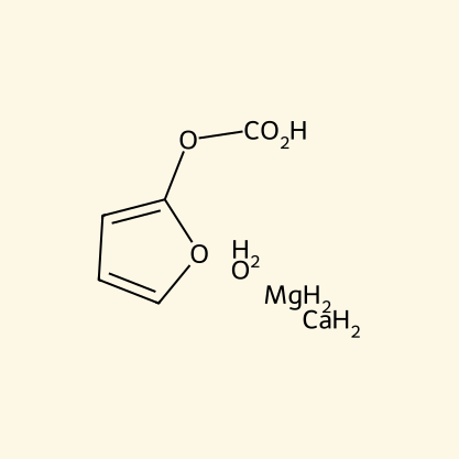 O.O=C(O)Oc1ccco1.[CaH2].[MgH2]